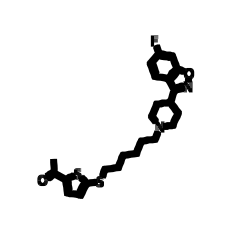 CC(=O)c1ccc(SCCCCCCN2CCC(c3noc4cc(F)ccc34)CC2)s1